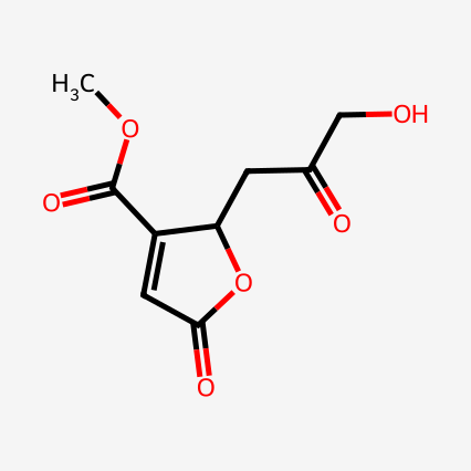 COC(=O)C1=CC(=O)OC1CC(=O)CO